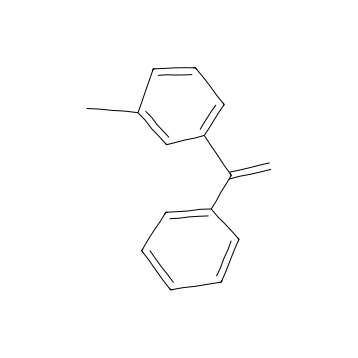 C=C(c1ccccc1)c1cccc(C)c1